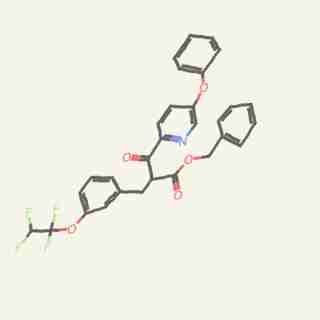 O=C(OCc1ccccc1)C(Cc1cccc(OC(F)(F)C(F)F)c1)C(=O)c1ccc(Oc2ccccc2)cn1